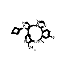 C[C@H]1Oc2cc(cnc2N)-c2c(cnn2C2CCC2)Cn2ncnc2-c2ccc(F)cc21